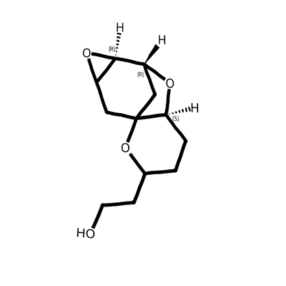 OCCC1CC[C@@H]2O[C@@H]3CC2(CC2O[C@H]23)O1